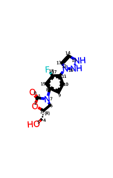 O=C1O[C@@H](CO)CN1c1ccc(N2C=CNN2)c(F)c1